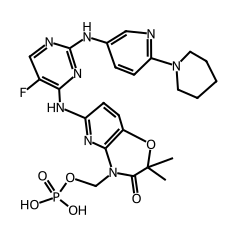 CC1(C)Oc2ccc(Nc3nc(Nc4ccc(N5CCCCC5)nc4)ncc3F)nc2N(COP(=O)(O)O)C1=O